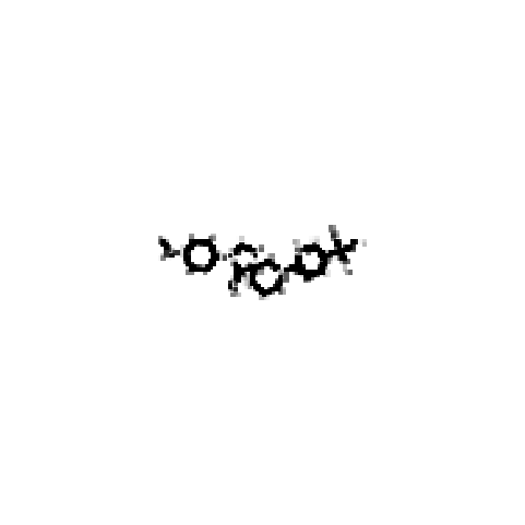 CO[C@H]1CC[C@H](N2CC[C@]3(CCCN(c4ccc(C(F)(F)F)cn4)C3)C2=O)CC1